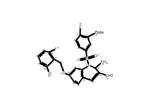 COc1cc(S(=O)(=O)N2c3cc(OCc4c(F)cccc4Cl)ccc3C=C(C=O)C2C)ccc1F